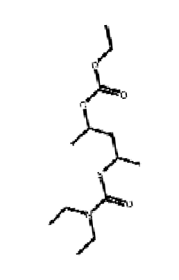 CCOC(=O)OC(C)CC(C)SC(=O)N(CC)CC